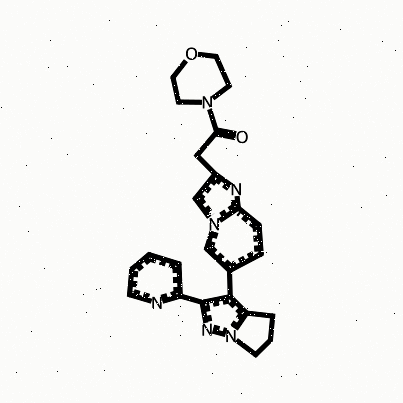 O=C(Cc1cn2cc(-c3c(-c4ccccn4)nn4c3CCC4)ccc2n1)N1CCOCC1